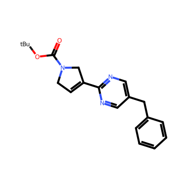 CC(C)(C)OC(=O)N1CC=C(c2ncc(Cc3ccccc3)cn2)C1